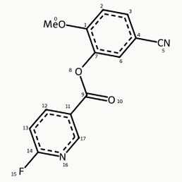 COc1ccc(C#N)cc1OC(=O)c1ccc(F)nc1